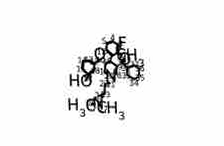 Cc1c(F)cccc1[C@@H]1[C@@H](C(=O)c2cccc(O)c2)CN(CCCCN(C)C)C[C@H]1C(=O)C1CCCCC1